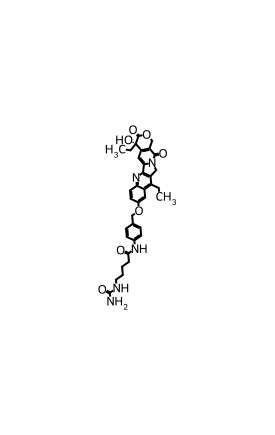 CCc1c2c(nc3ccc(OCc4ccc(NC(=O)CCCCNC(N)=O)cc4)cc13)-c1cc3c(c(=O)n1C2)COC(=O)[C@]3(O)CC